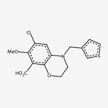 COc1c(Cl)cc2c(c1C(=O)O)OCCN2Cc1ccsc1